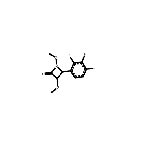 COC1C(=O)N(SC)C1c1ccc(F)c(F)c1F